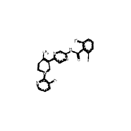 CC1=C(c2cnc(NC(=O)c3c(F)cccc3F)cn2)CN(c2ncccc2Br)CC1